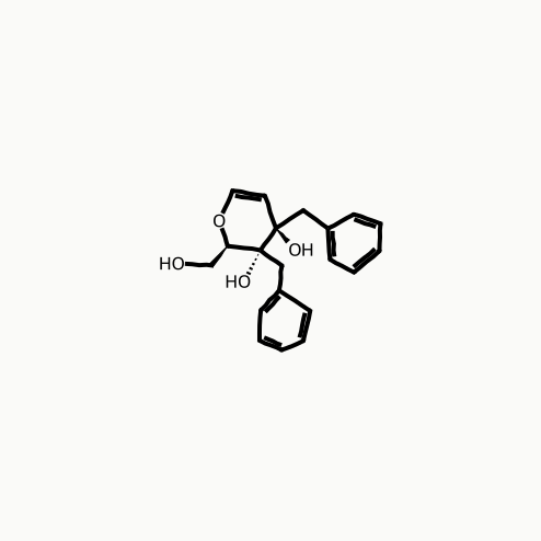 OC[C@H]1OC=C[C@](O)(Cc2ccccc2)[C@@]1(O)Cc1ccccc1